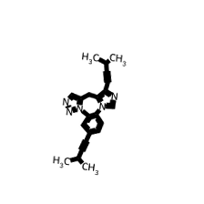 CC(C)C#Cc1ccc2c(c1)-n1nncc1Cc1c(C#CC(C)C)ncn1-2